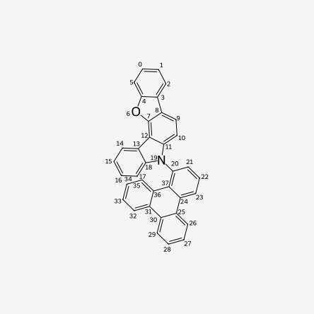 c1ccc2c(c1)oc1c2ccc2c1c1ccccc1n2-c1cccc2c3ccccc3c3ccccc3c12